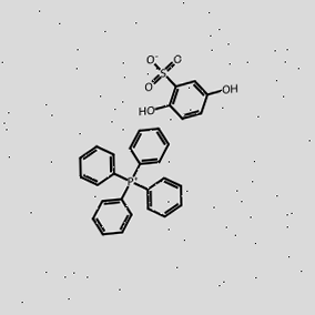 O=S(=O)([O-])c1cc(O)ccc1O.c1ccc([P+](c2ccccc2)(c2ccccc2)c2ccccc2)cc1